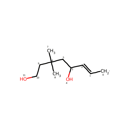 [CH2]C=CC(O)CC(C)(C)CCO